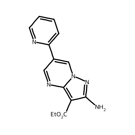 CCOC(=O)c1c(N)nn2cc(-c3ccccn3)cnc12